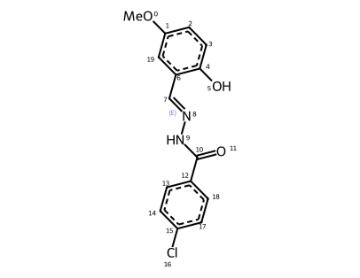 COc1ccc(O)c(/C=N/NC(=O)c2ccc(Cl)cc2)c1